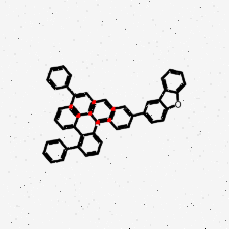 c1ccc(-c2ccc(N(c3ccc(-c4ccc5oc6ccccc6c5c4)cc3)c3cccc(-c4ccccc4)c3-c3ccccc3-c3ccccc3)cc2)cc1